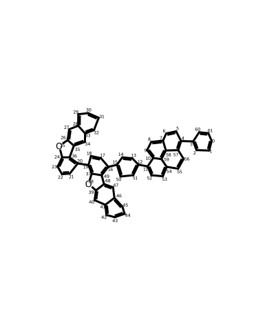 c1ccc(-c2ccc3ccc4c(-c5ccc(-c6ccc(-c7cccc8oc9cc%10ccccc%10cc9c78)c7oc8cc9ccccc9cc8c67)cc5)ccc5ccc2c3c54)cc1